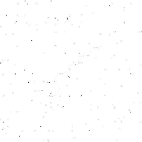 CC(C)CCNCC[C@@H](N)[CH]c1cc(F)cc(Cl)c1